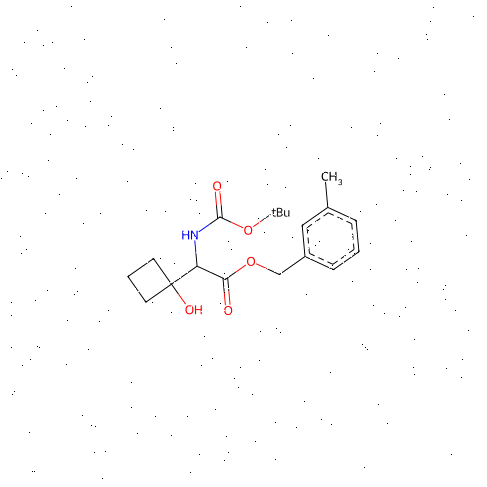 Cc1cccc(COC(=O)C(NC(=O)OC(C)(C)C)C2(O)CCC2)c1